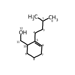 CC(C)CCC1=CCCCC1CO